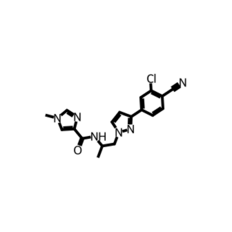 CC(Cn1ccc(-c2ccc(C#N)c(Cl)c2)n1)NC(=O)c1cn(C)cn1